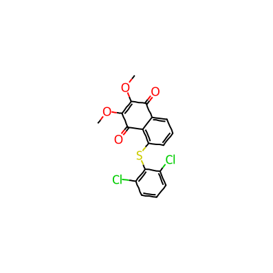 COC1=C(OC)C(=O)c2c(Sc3c(Cl)cccc3Cl)cccc2C1=O